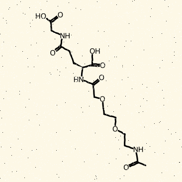 CC(=O)NCCOCCOCC(=O)N[C@@H](CCC(=O)NCC(=O)O)C(=O)O